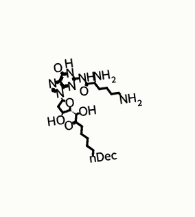 CCCCCCCCCCCCCCCC(=O)C(O)[C@H]1O[C@@H](n2cnc3c(=O)[nH]c(NC(=O)[C@@H](N)CCCCN)nc32)C[C@@H]1O